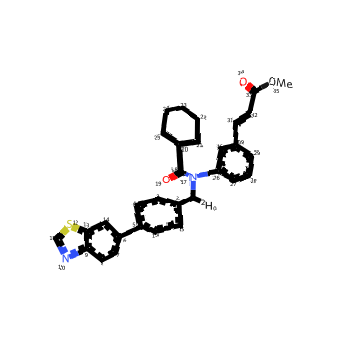 [2H]C(c1ccc(-c2ccc3ncsc3c2)cc1)N(C(=O)C1CCCCC1)c1cccc(/C=C/C(=O)OC)c1